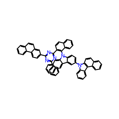 c1ccc(-c2nc(-c3ccc4c(ccc5ccccc54)c3)nc(-c3ccc4ccccc4c3-n3c4ccc(-n5c6ccccc6c6c7ccccc7ccc65)cc4c4cc5ccccc5cc43)n2)cc1